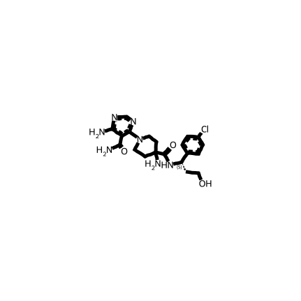 NC(=O)c1c(N)ncnc1N1CCC(N)(C(=O)N[C@@H](CCO)c2ccc(Cl)cc2)CC1